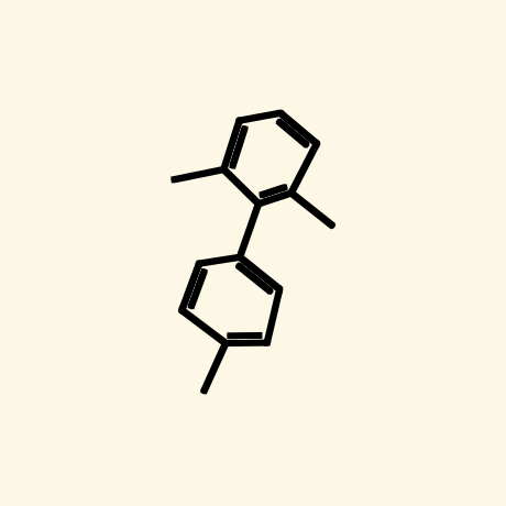 Cc1ccc(-c2c(C)cccc2C)cc1